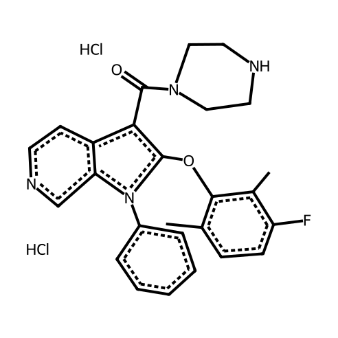 Cc1ccc(F)c(C)c1Oc1c(C(=O)N2CCNCC2)c2ccncc2n1-c1ccccc1.Cl.Cl